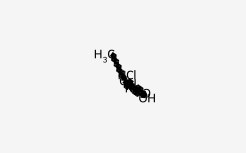 CCCCCCCCCCOc1cnc(-c2ccc(C(=O)O)cc2)nc1.Cl